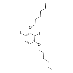 CCCCCCOc1ccc(I)c(OCCCCCC)c1I